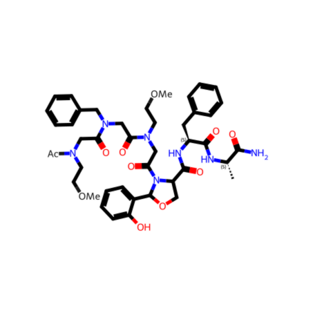 COCCN(CC(=O)N(CC(=O)N(CCOC)CC(=O)N1C(C(=O)N[C@@H](Cc2ccccc2)C(=O)N[C@@H](C)C(N)=O)COC1c1ccccc1O)Cc1ccccc1)C(C)=O